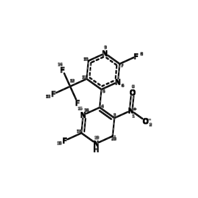 O=[N+]([O-])C1=C(c2nc(F)ncc2C(F)(F)F)N=C(F)N[CH]1